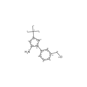 CC(C)(C)c1cc(N)n(-c2cccc(CCl)c2)n1